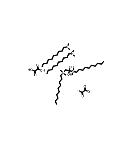 CCCCCCCCCCN(C)C.CCCCCCCCCCN(C)C.CCCCCCCCCC[N+](C)(C)CC(O)(O)[N+](C)(C)CCCCCCCCCC.O=C(O)C(=O)O.O=C([O-])C(=O)[O-]